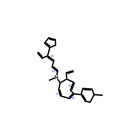 C=C/C(=C\C=C\N(C)C1\C=C/C=C(C2=CCC(C)C=C2)\C=C\C1C=C)C1=CC=CC1